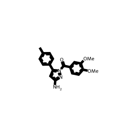 COc1ccc(C(=O)n2nc(N)cc2-c2ccc(C)cc2)cc1OC